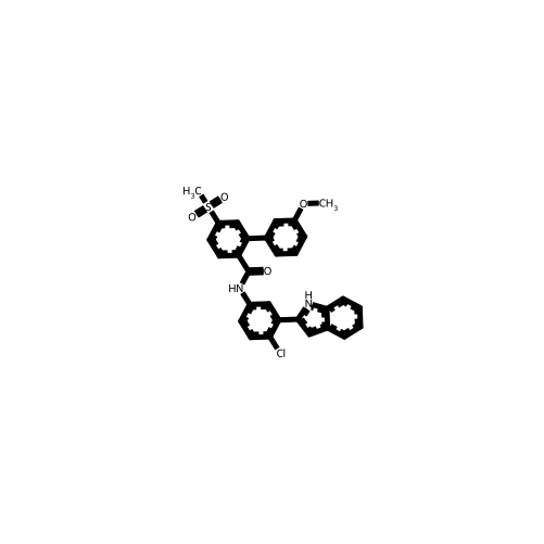 COc1cccc(-c2cc(S(C)(=O)=O)ccc2C(=O)Nc2ccc(Cl)c(-c3cc4ccccc4[nH]3)c2)c1